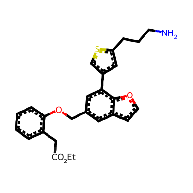 CCOC(=O)Cc1ccccc1OCc1cc(-c2csc(CCCN)c2)c2occc2c1